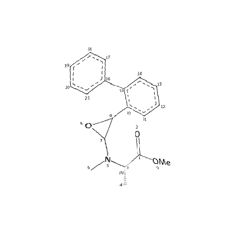 COC(=O)[C@H](C)N(C)C1OC1c1ccccc1-c1ccccc1